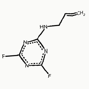 C=CCNc1nc(F)nc(F)n1